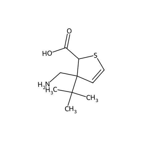 CC(C)(C)C1(CN)C=CSC1C(=O)O